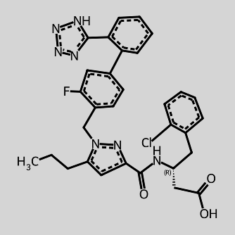 CCCc1cc(C(=O)N[C@@H](CC(=O)O)Cc2ccccc2Cl)nn1Cc1ccc(-c2ccccc2-c2nnn[nH]2)cc1F